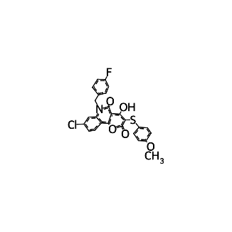 COc1ccc(Sc2c(O)c3c(=O)n(Cc4ccc(F)cc4)c4cc(Cl)ccc4c3oc2=O)cc1